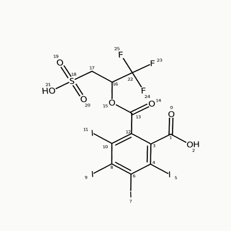 O=C(O)c1c(I)c(I)c(I)c(I)c1C(=O)OC(CS(=O)(=O)O)C(F)(F)F